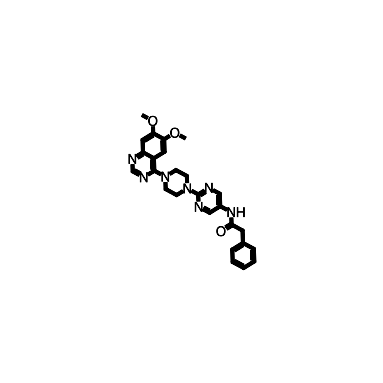 COc1cc2ncnc(N3CCN(c4ncc(NC(=O)Cc5ccccc5)cn4)CC3)c2cc1OC